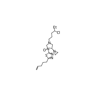 C=CCCCc1nnc([N+]2([O-])CN(CCCC(Cl)CC)CC2N2CC2)s1